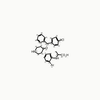 CC(=O)c1ccccc1NC(C)C(=O)O.Clc1ccc([C@H](OC2CCNCC2)c2ccccn2)cc1